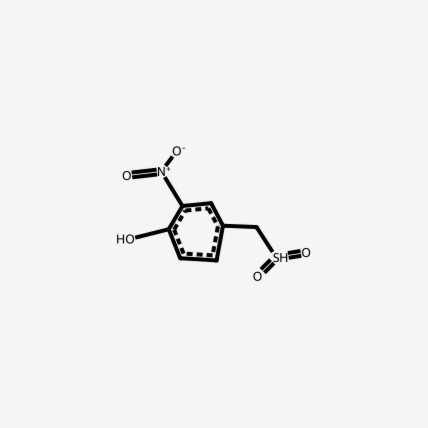 O=[N+]([O-])c1cc(C[SH](=O)=O)ccc1O